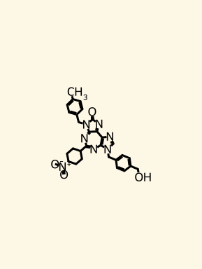 Cc1ccc(Cn2c3nc(C4CCC([N+](=O)[O-])CC4)nc4c(ncn4Cc4ccc(CO)cc4)c-3nc2=O)cc1